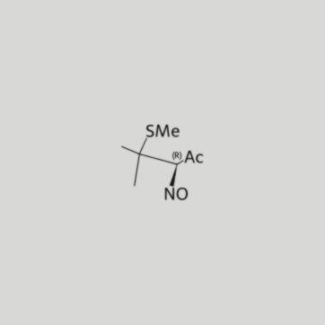 CSC(C)(C)[C@H](N=O)C(C)=O